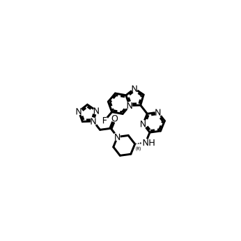 O=C(Cn1cncn1)N1CCC[C@@H](Nc2ccnc(-c3cnc4ccc(F)cn34)n2)C1